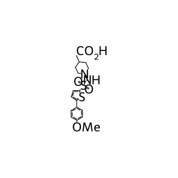 COc1ccc(-c2ccc(S(=O)(=O)NN3CCC(CC(=O)O)CC3)s2)cc1